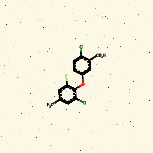 O=C(O)c1cc(Oc2c(F)cc(C(F)(F)F)cc2Cl)ccc1Cl